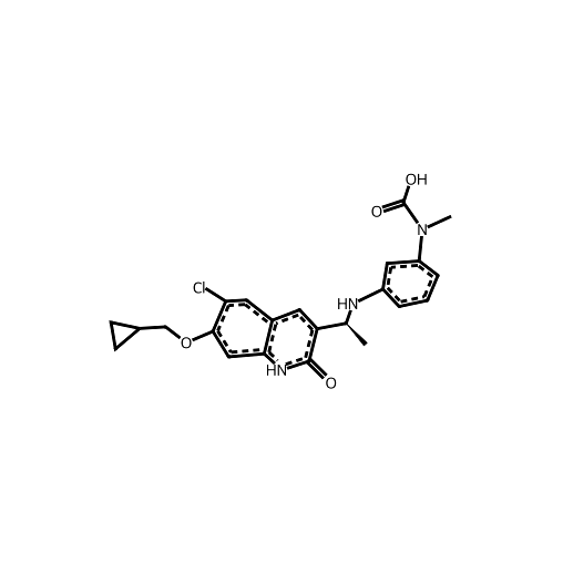 C[C@H](Nc1cccc(N(C)C(=O)O)c1)c1cc2cc(Cl)c(OCC3CC3)cc2[nH]c1=O